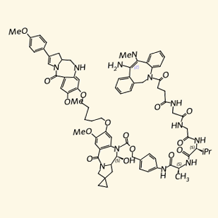 CN/C1=C(\N)c2ccccc2CN(C(=O)CCC(=O)NCC(=O)NCC(=O)N[C@H](C(=O)N[C@@H](C)C(=O)Nc2ccc(COC(=O)N3c4cc(OCCCCCOc5cc6c(cc5OC)C(=O)N5C=C(c7ccc(OC)cc7)CC5CN6)c(OC)cc4C(=O)N4CC5(CC5)CC4[C@@H]3O)cc2)C(C)C)c2ccccc21